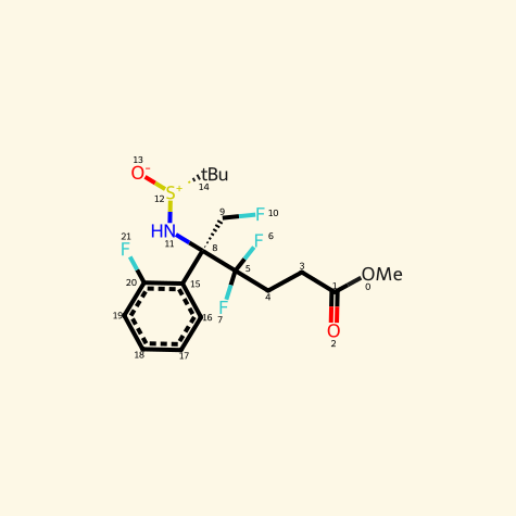 COC(=O)CCC(F)(F)[C@](CF)(N[S@+]([O-])C(C)(C)C)c1ccccc1F